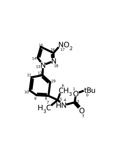 CC(C)(C)OC(=O)NC(C)(C)c1cccc(-n2ccc([N+](=O)[O-])n2)c1